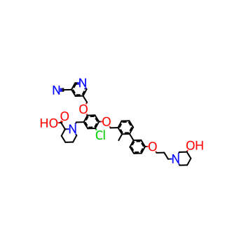 Cc1c(COc2cc(OCc3cncc(C#N)c3)c(CN3CCCCC3C(=O)O)cc2Cl)cccc1-c1cccc(OCCCN2CCCC(O)C2)c1